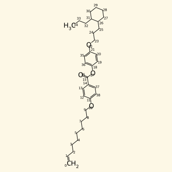 C=CCCCCCCCCOc1ccc(C(=O)Oc2ccc(OCCCC3CCCCC3CCC)cc2)cc1